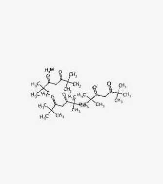 CC(C)(C)C(=O)CC(=O)C(C)(C)C.CC(C)(C)C(=O)CC(=O)C(C)(C)C.CC(C)(C)C(=O)CC(=O)C(C)(C)C.[BiH3]